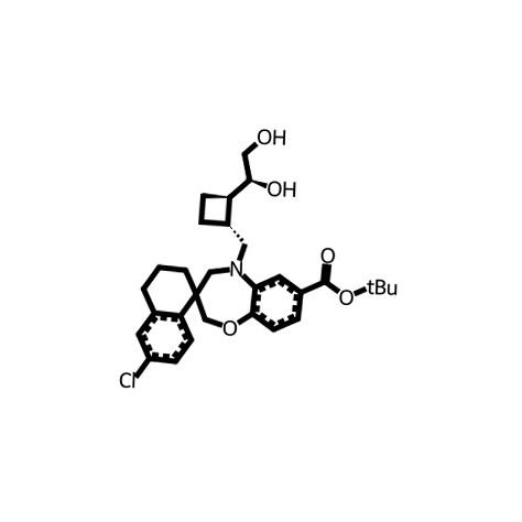 CC(C)(C)OC(=O)c1ccc2c(c1)N(C[C@@H]1CC[C@H]1[C@H](O)CO)CC1(CCCc3cc(Cl)ccc31)CO2